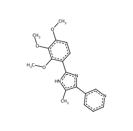 COc1ccc(-c2nc(-c3cccnc3)c(C)[nH]2)c(OC)c1OC